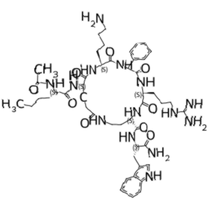 CCCC[C@H](NC(C)=O)C(=O)N[C@H]1CCC(=O)NCC[C@@H](C(=O)N[C@@H](Cc2c[nH]c3ccccc23)C(N)=O)NC(=O)[C@H](CCCNC(=N)N)NC(=O)C(c2ccccc2)NC(=O)[C@H](CCCCN)NC1=O